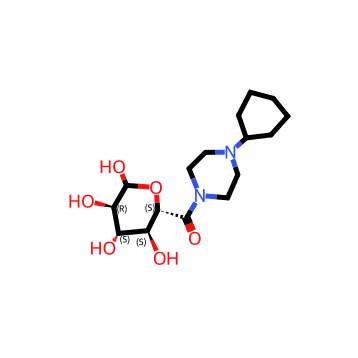 O=C([C@H]1OC(O)[C@H](O)[C@@H](O)[C@@H]1O)N1CCN(C2CCCCC2)CC1